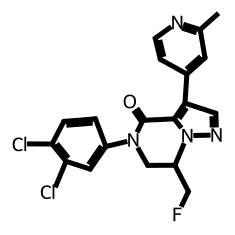 Cc1cc(-c2cnn3c2C(=O)N(c2ccc(Cl)c(Cl)c2)CC3CF)ccn1